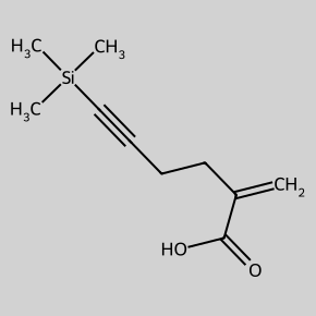 C=C(CCC#C[Si](C)(C)C)C(=O)O